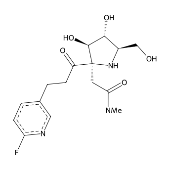 CNC(=O)C[C@@]1(C(=O)CCc2ccc(F)nc2)N[C@H](CO)[C@@H](O)[C@@H]1O